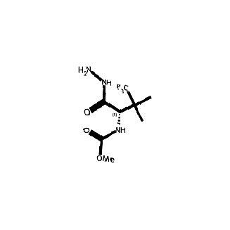 COC(=O)N[C@H](C(=O)NN)C(C)(C)C(F)(F)F